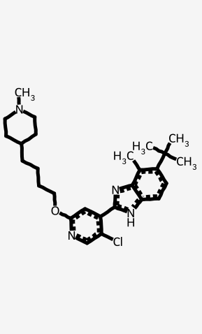 Cc1c(C(C)(C)C)ccc2[nH]c(-c3cc(OCCCCC4CCN(C)CC4)ncc3Cl)nc12